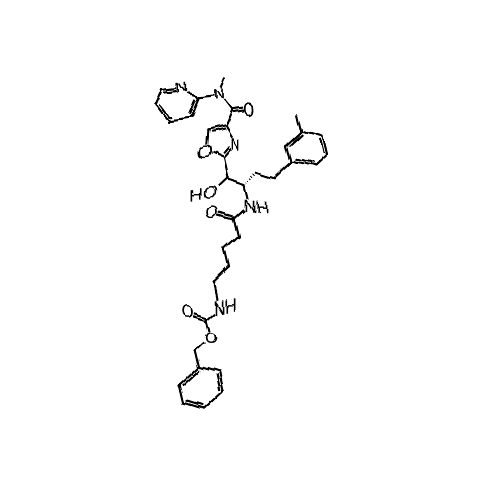 Cc1cccc(CC[C@H](NC(=O)CCCCNC(=O)OCc2ccccc2)C(O)c2nc(C(=O)N(C)c3ccccn3)co2)c1